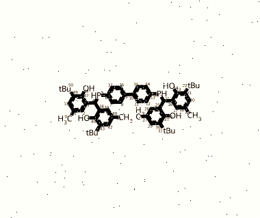 Cc1cc(C(Pc2ccc(-c3ccc(PC(c4cc(C)cc(C(C)(C)C)c4O)c4cc(C)cc(C(C)(C)C)c4O)cc3)cc2)c2cc(C)cc(C(C)(C)C)c2O)c(O)c(C(C)(C)C)c1